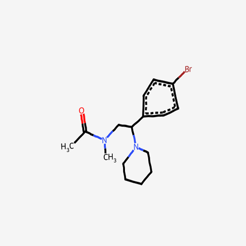 CC(=O)N(C)CC(c1ccc(Br)cc1)N1CCCCC1